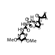 COc1cc(OC)nc(NC(=O)NS(=O)(=O)Nn2cccc2C(=O)C2CC2)n1